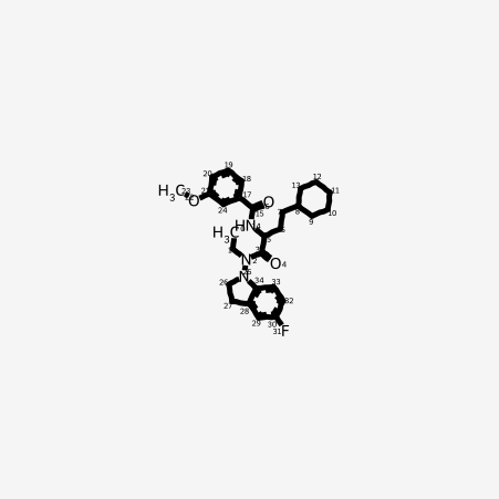 CCN(C(=O)C(CCC1CCCCC1)NC(=O)c1cccc(OC)c1)N1CCc2cc(F)ccc21